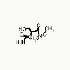 CON(C)C(=O)C(CO)OC(N)=O